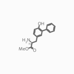 COC(=O)[C@@H](N)Cc1ccc(O)c(-c2ccccc2)c1